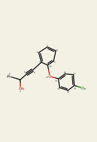 CC(C)C(O)C#Cc1ccccc1Oc1ccc(Cl)cc1